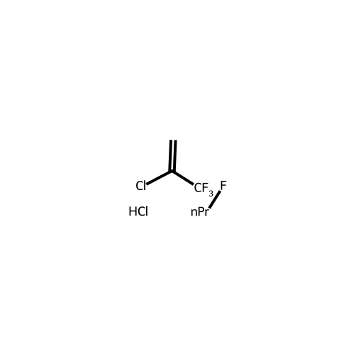 C=C(Cl)C(F)(F)F.CCCF.Cl